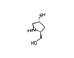 OC[C@@H]1C[C@@H](S)CN1